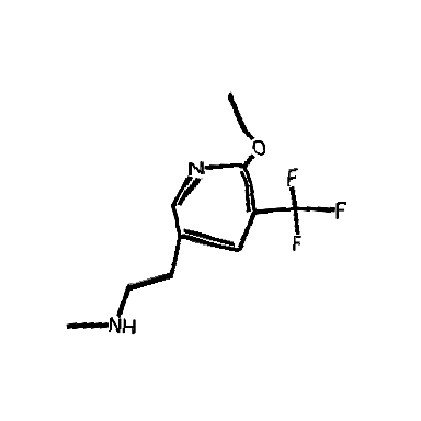 CNCCc1cnc(OC)c(C(F)(F)F)c1